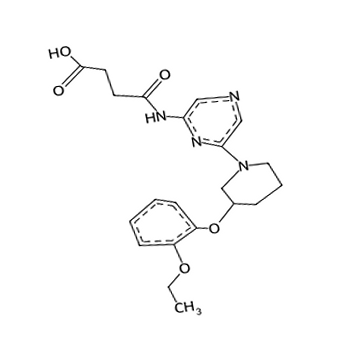 CCOc1ccccc1OC1CCCN(c2cncc(NC(=O)CCC(=O)O)n2)C1